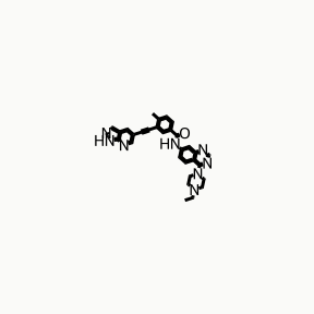 CCN1CCN(c2ncnc3cc(NC(=O)c4ccc(C)c(C#Cc5cnc6[nH]ncc6c5)c4)ccc23)CC1